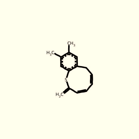 C=C1/C=C\C=C/Cc2cc(C)c(C)cc2S1